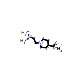 CC(C)C1CCN(CCN(C)C)CC1